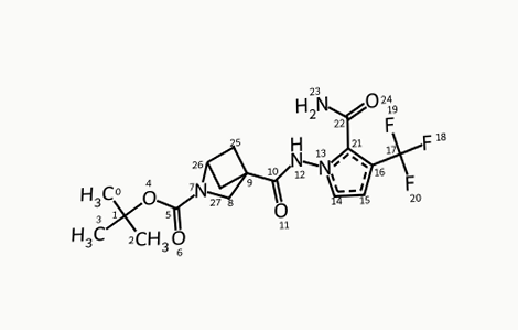 CC(C)(C)OC(=O)N1CC2(C(=O)Nn3ccc(C(F)(F)F)c3C(N)=O)CC1C2